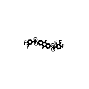 Cc1c2ccc(OC(=O)c3ccc(F)c(F)c3F)cc2c(C)c2ccc(OC(=O)c3ccc(F)c(F)c3)cc12